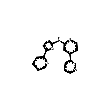 c1ccc(-c2csc(Nc3cc(-c4cccnn4)ccn3)n2)nc1